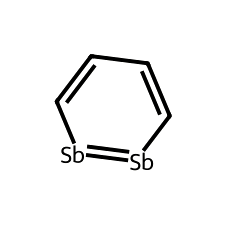 C1=[CH][Sb]=[Sb][CH]=C1